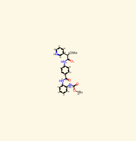 COC(C(=O)Nc1ccc(C(=O)Nc2ccccc2NC(=O)OC(C)(C)C)cc1)c1cccnc1